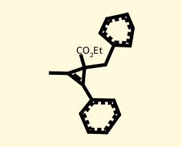 CCOC(=O)C1(Cc2ccccc2)C(C)=C1c1ccccc1